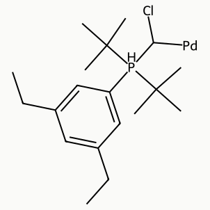 CCc1cc(CC)cc([PH]([CH](Cl)[Pd])(C(C)(C)C)C(C)(C)C)c1